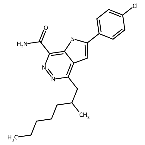 CCCCCC(C)Cc1nnc(C(N)=O)c2sc(-c3ccc(Cl)cc3)cc12